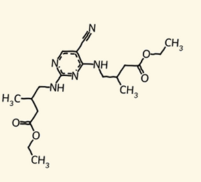 CCOC(=O)CC(C)CNc1ncc(C#N)c(NCC(C)CC(=O)OCC)n1